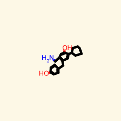 NCc1cc(O)c(C2CCCCC2)cc1Cc1ccc(O)cc1